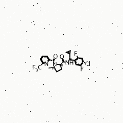 C[C@@H]1CC[C@H](C(=O)N[C@H](C2=CC2)c2cc(F)c(Cl)cc2F)N1C(=O)c1cccc(C(F)(F)F)n1